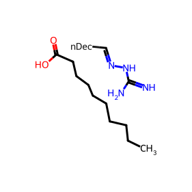 CCCCCCCCCC(=O)O.CCCCCCCCCCC=NNC(=N)N